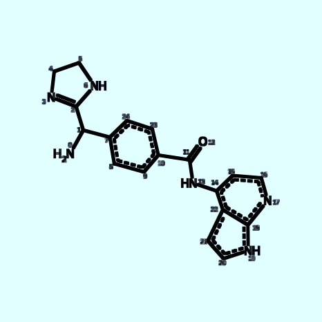 NC(C1=NCCN1)c1ccc(C(=O)Nc2ccnc3[nH]ccc23)cc1